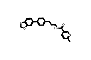 Cc1ccc(C(=O)NCCCc2ccc(-c3ccc4c(c3)OCO4)cc2)cn1